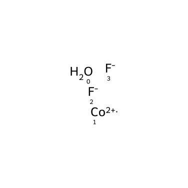 O.[Co+2].[F-].[F-]